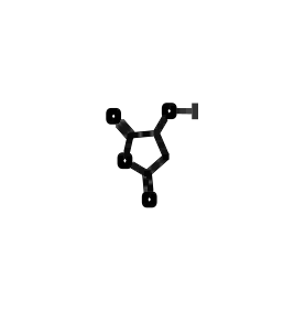 O=C1CC(OI)C(=O)O1